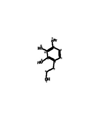 CCCc1ccc(CCO)c(O)c1O